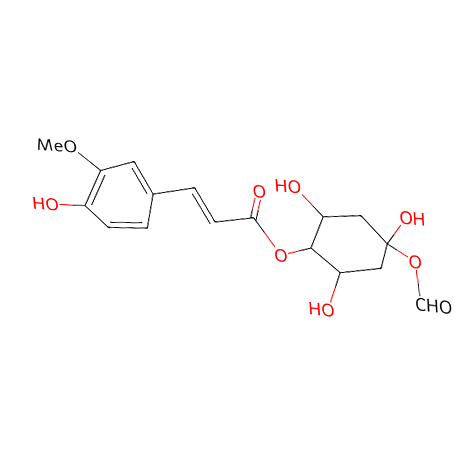 COc1cc(/C=C/C(=O)OC2C(O)CC(O)(OC=O)CC2O)ccc1O